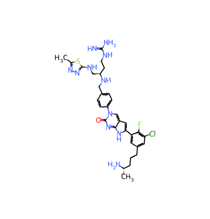 Cc1nnc(NC[C@@H](CCNC(=N)N)NCc2ccc(-n3cc4cc(-c5cc(CCC[C@H](C)N)cc(Cl)c5F)[nH]c4nc3=O)cc2)s1